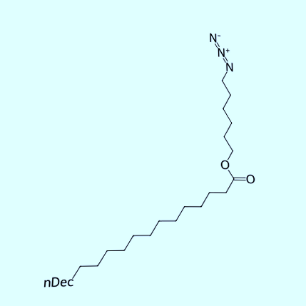 CCCCCCCCCCCCCCCCCCCCCCC(=O)OCCCCCCN=[N+]=[N-]